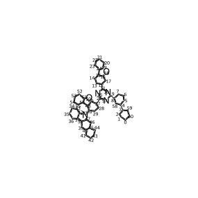 c1ccc(-c2cccc(-c3nc(-c4ccc5c(c4)oc4ccccc45)nc(-c4ccc(-n5c6ccccc6c6cc7ccccc7cc65)c5c4oc4ccccc45)n3)c2)cc1